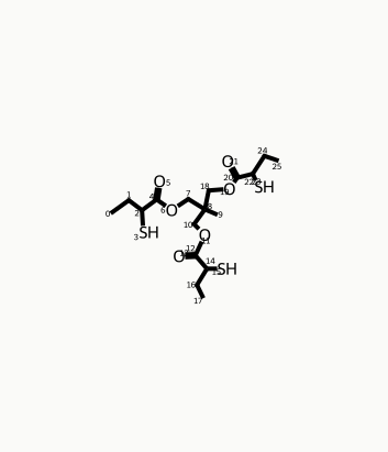 CCC(S)C(=O)OCC(C)(COC(=O)C(S)CC)COC(=O)C(S)CC